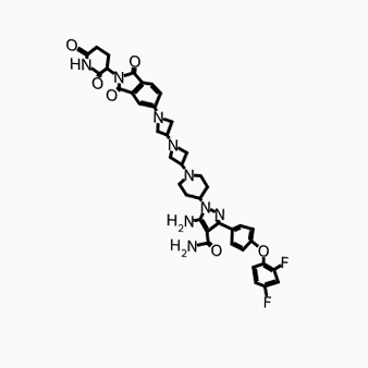 NC(=O)c1c(-c2ccc(Oc3ccc(F)cc3F)cc2)nn(C2CCN(C3CN(C4CN(c5ccc6c(c5)C(=O)N(C5CCC(=O)NC5=O)C6=O)C4)C3)CC2)c1N